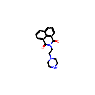 O=C1c2cccc3cccc(c23)C(=O)N1CCN1CCNCC1